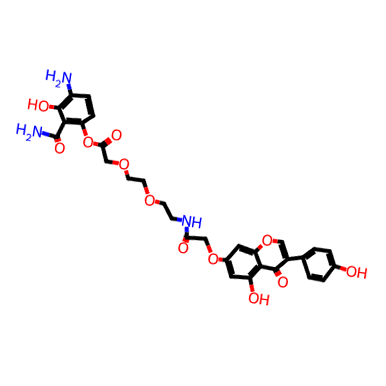 NC(=O)c1c(OC(=O)COCCOCCNC(=O)COc2cc(O)c3c(=O)c(-c4ccc(O)cc4)coc3c2)ccc(N)c1O